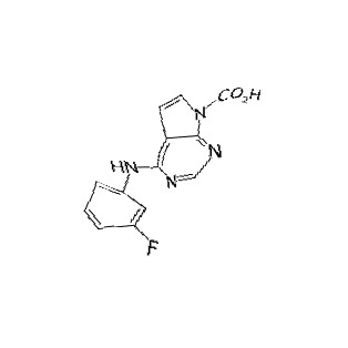 O=C(O)n1ccc2c(Nc3cccc(F)c3)ncnc21